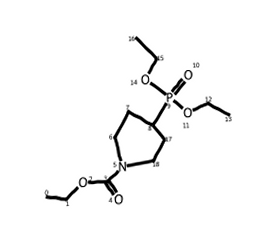 CCOC(=O)N1CCC(P(=O)(OCC)OCC)CC1